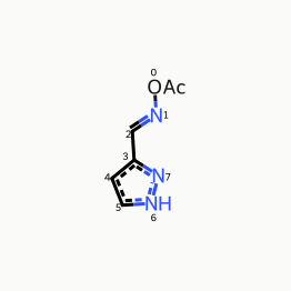 CC(=O)ON=Cc1cc[nH]n1